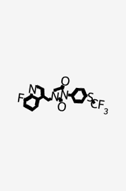 O=C1CN(Cc2ccnc3c(F)cccc23)C(=O)N1c1ccc(SC(F)(F)F)cc1